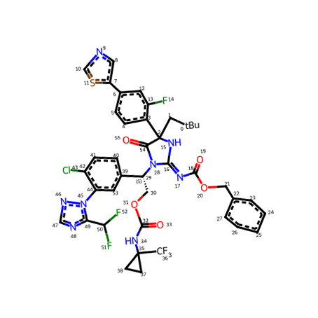 CC(C)(C)CC1(c2ccc(-c3cncs3)cc2F)NC(=NC(=O)OCc2ccccc2)N([C@H](COC(=O)NC2(C(F)(F)F)CC2)c2ccc(Cl)c(-n3ncnc3C(F)F)c2)C1=O